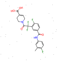 Cc1cc(NC(=O)c2ccc(F)c(C(F)(F)C(=O)N3CC=C(B(O)O)CC3)c2)ccc1F